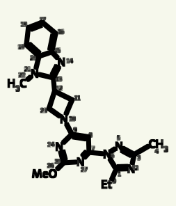 CCc1nc(C)nn1-c1cc(N2CC(c3nc4ccccc4n3C)C2)nc(OC)n1